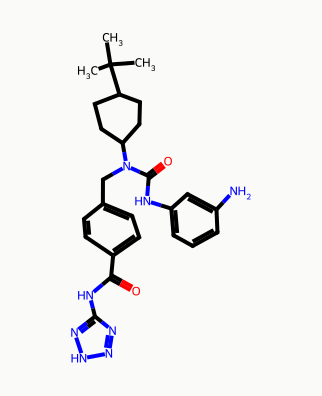 CC(C)(C)C1CCC(N(Cc2ccc(C(=O)Nc3nn[nH]n3)cc2)C(=O)Nc2cccc(N)c2)CC1